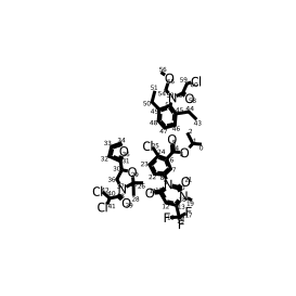 CC(C)OC(=O)c1cc(-n2c(=O)cc(C(F)(F)F)n(C)c2=O)ccc1Cl.CC1(C)OC(c2ccco2)CN1C(=O)C(Cl)Cl.CCc1cccc(CC)c1N(COC)C(=O)CCl